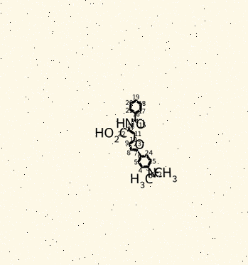 CN(C)c1ccc(-c2ccc(/C=C(/NC(=O)c3ccccc3)C(=O)O)o2)cc1